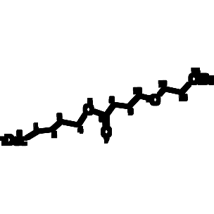 CCCCCCCCCCCCCCOC(=O)CCCOCCOCC(C)C